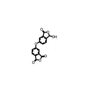 O=C1OC(=O)c2cc(Oc3ccc4c(c3)C(=O)OC4O)ccc21